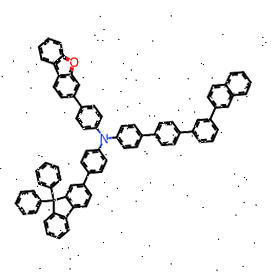 c1ccc(C2(c3ccccc3)c3ccccc3-c3ccc(-c4ccc(N(c5ccc(-c6ccc(-c7cccc(-c8ccc9ccccc9c8)c7)cc6)cc5)c5ccc(-c6ccc7c(c6)oc6ccccc67)cc5)cc4)cc32)cc1